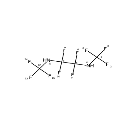 FC(F)(F)NC(F)(F)C(F)(F)NC(F)(F)F